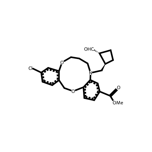 COC(=O)c1ccc2c(c1)N(C[C@@H]1CC[C@H]1C=O)CCCOc1cc(Cl)ccc1CO2